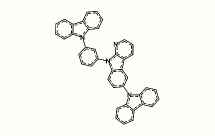 c1cc(-n2c3ccccc3c3ccccc32)cc(-n2c3ccc(-n4c5ccccc5c5ccccc54)cc3c3cccnc32)c1